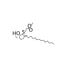 CCCCCCCCCCCCCC=C1CC[C@H](CC)[C@@H](O)[C@@H]1SCCC(=O)OCC